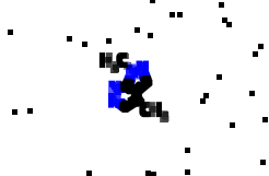 Cc1cnnc2c1cnn2C